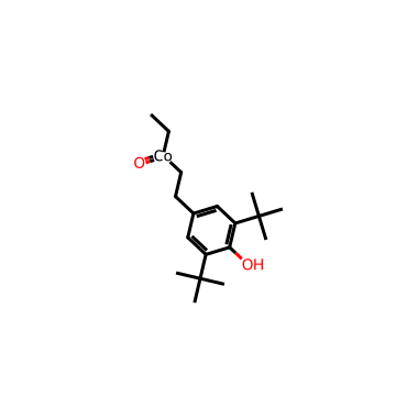 C[CH2][Co](=[O])[CH2]Cc1cc(C(C)(C)C)c(O)c(C(C)(C)C)c1